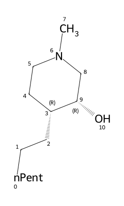 CCCCCCC[C@@H]1CCN(C)C[C@@H]1O